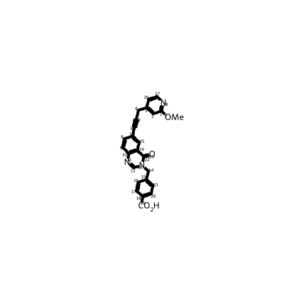 COc1cc(CC#Cc2ccc3ncn(Cc4ccc(C(=O)O)cc4)c(=O)c3c2)ccn1